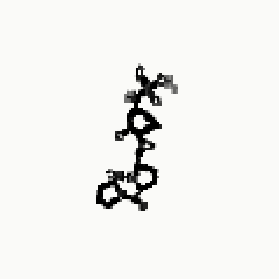 CS(=O)(=O)Nc1ccc(OC[C@H]2CC[C@@H](C(=O)N3CCC[C@H]3C#N)N2)c(Cl)c1